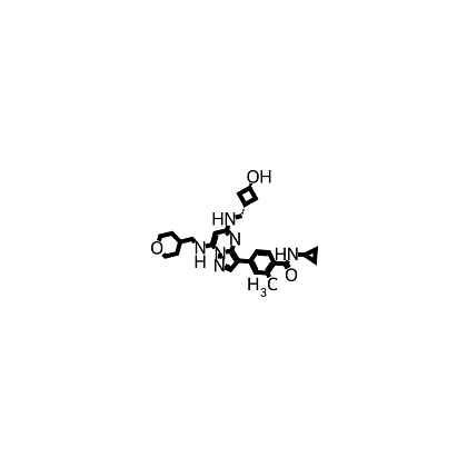 Cc1cc(-c2cnn3c(NCC4CCOCC4)cc(NC[C@H]4C[C@H](O)C4)nc23)ccc1C(=O)NC1CC1